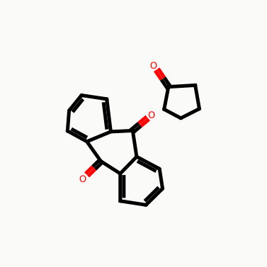 O=C1CCCC1.O=C1c2ccccc2C(=O)c2ccccc21